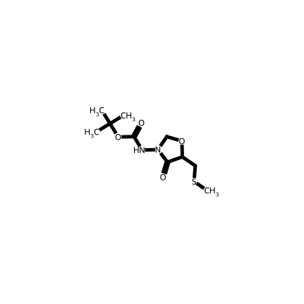 CSCC1OCN(NC(=O)OC(C)(C)C)C1=O